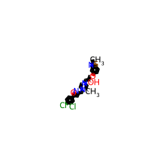 Cc1nc2cc(OC[C@H](O)CN3CCN(Cc4cc(-c5ccc(Cl)c(Cl)c5)on4)[C@@H](C)C3)ccc2s1